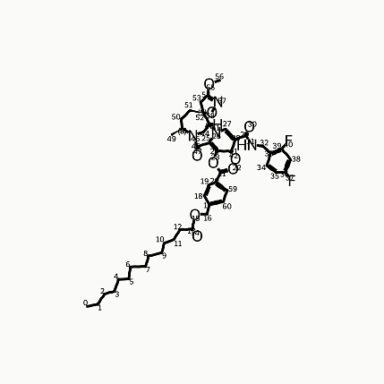 CCCCCCCCCCCCCC(=O)OCc1ccc(C(=O)Oc2c3n(cc(C(=O)NCc4ccc(F)cc4F)c2=O)[C@@H]2CN(C3=O)[C@@H](C)CC[C@]23CC(OC)=NO3)cc1